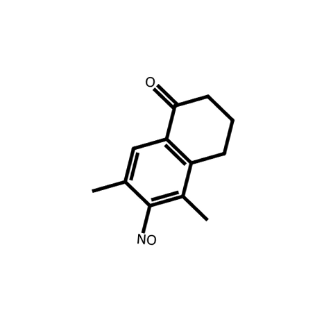 Cc1cc2c(c(C)c1N=O)CCCC2=O